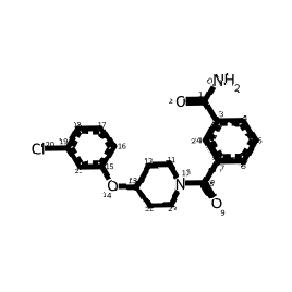 NC(=O)c1cccc(C(=O)N2CCC(Oc3cccc(Cl)c3)CC2)c1